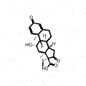 CS[C@@]1(C(=O)O)C(=O)C[C@H]2[C@@H]3CCC4=CC(=O)C=C[C@]4(C)C3(F)[C@@H](O)C[C@@]21C